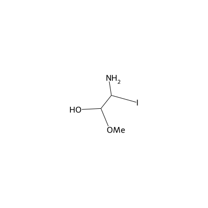 COC(O)C(N)I